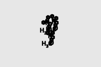 COc1ccc2c(c1)CCCC2=NN(Cc1ccccc1)Cc1ccccc1.COc1ccc2c(c1)CCCC2=NN(Cc1ccccc1)c1ccccc1.COc1ccc2c(c1)CCCC2=NN(c1ccccc1)c1ccccc1